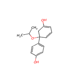 CC(C)OC1(c2ccc(O)cc2)C=CC=C(O)C1